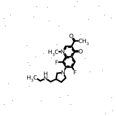 CCNCC1CCN(c2c(F)cc3c(=O)c(C(C)=O)cn(C)c3c2F)C1